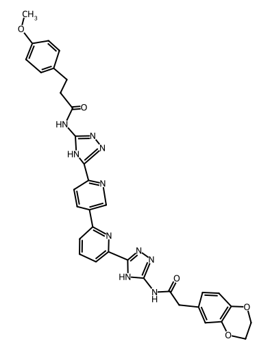 COc1ccc(CCC(=O)Nc2nnc(-c3ccc(-c4cccc(-c5nnc(NC(=O)Cc6ccc7c(c6)OCCO7)[nH]5)n4)cn3)[nH]2)cc1